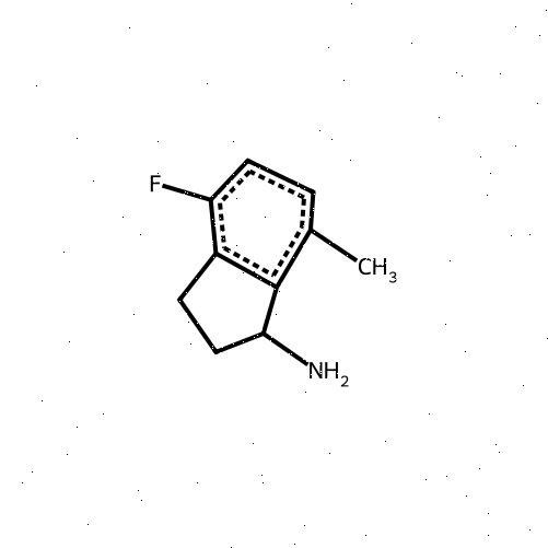 Cc1ccc(F)c2c1C(N)CC2